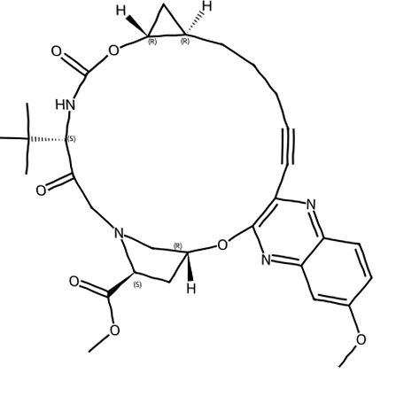 COC(=O)[C@@H]1C[C@@H]2CN1CC(=O)[C@H](C(C)(C)C)NC(=O)O[C@@H]1C[C@H]1CCCC#Cc1nc3ccc(OC)cc3nc1O2